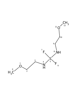 COCCNS(F)(F)NCCOC